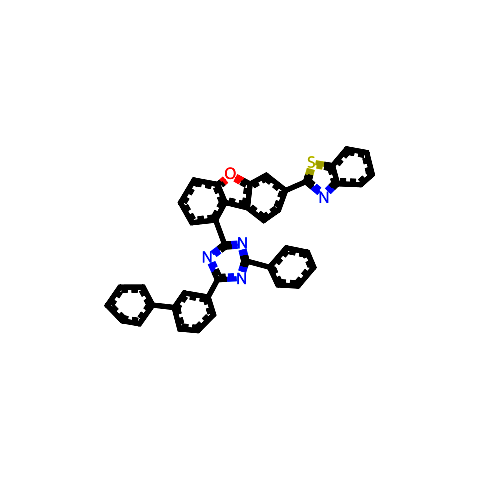 c1ccc(-c2cccc(-c3nc(-c4ccccc4)nc(-c4cccc5oc6cc(-c7nc8ccccc8s7)ccc6c45)n3)c2)cc1